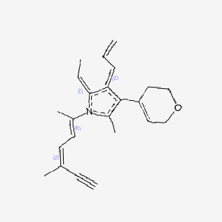 C#C/C(C)=C\C=C(/C)n1c(C)c(C2=CCOCC2)c(=C/C=C)/c1=C\C